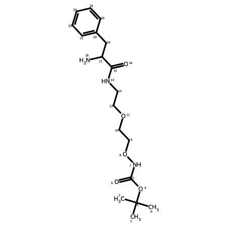 CC(C)(C)OC(=O)NOCCOCCNC(=O)C(N)Cc1ccccc1